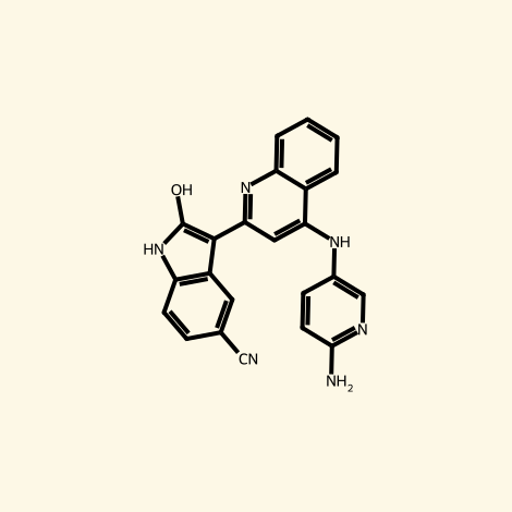 N#Cc1ccc2[nH]c(O)c(-c3cc(Nc4ccc(N)nc4)c4ccccc4n3)c2c1